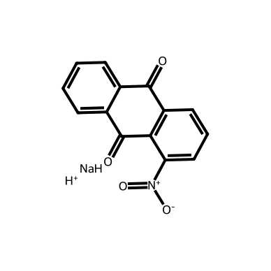 O=C1c2ccccc2C(=O)c2c1cccc2[N+](=O)[O-].[H+].[NaH]